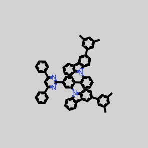 Cc1cc(C)cc(-c2ccc3c(c2)c2ccccc2n3-c2ccccc2-c2ccc(-c3nc(-c4ccccc4)cc(-c4ccccc4)n3)cc2-n2c3ccccc3c3cc(-c4cc(C)cc(C)c4)ccc32)c1